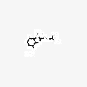 COc1cccc2c1s/c(=N\N=C(C)C)n2C